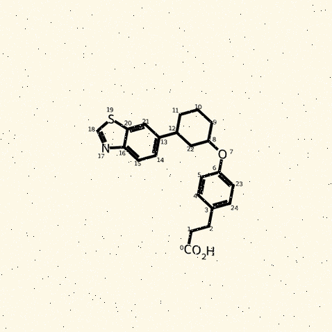 O=C(O)CCc1ccc(OC2CCCC(c3ccc4ncsc4c3)C2)cc1